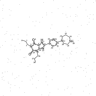 CCCn1c(=O)c2[nH]c(-c3ccc(N4CCCN(C)CC4)nc3)nc2n(CCC)c1=O